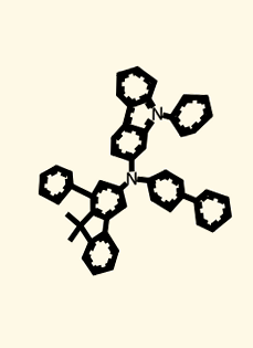 CC1(C)c2ccccc2-c2cc(N(c3ccc(-c4ccccc4)cc3)c3ccc4c5ccccc5n(-c5ccccc5)c4c3)cc(-c3ccccc3)c21